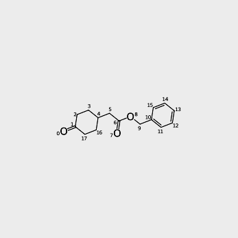 O=C1CCC(CC(=O)OCc2ccccc2)CC1